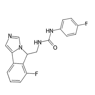 O=C(NCC1c2c(F)cccc2-c2cncn21)Nc1ccc(F)cc1